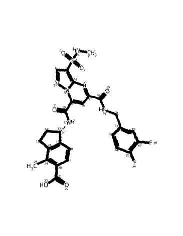 CNS(=O)(=O)c1cnn2c(C(=O)N[C@H]3CCc4c3ccc(C(=O)O)c4C)cc(C(=O)NCc3ccc(F)c(F)c3)nc12